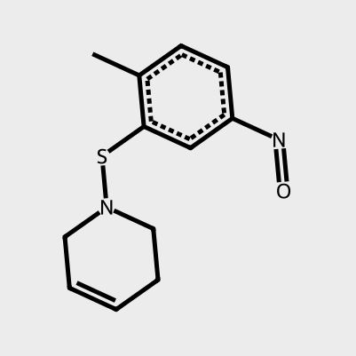 Cc1ccc(N=O)cc1SN1CC=CCC1